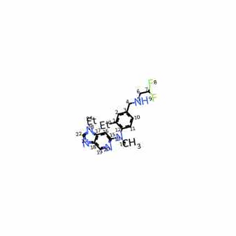 CCc1cc(CNCC(F)F)ccc1N(C)c1cc2c(cn1)ncn2CC